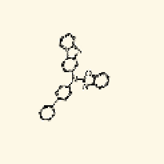 c1ccc(-c2ccc(N(c3ccc4c(c3)sc3ccccc34)c3nc4ccccc4o3)cc2)cc1